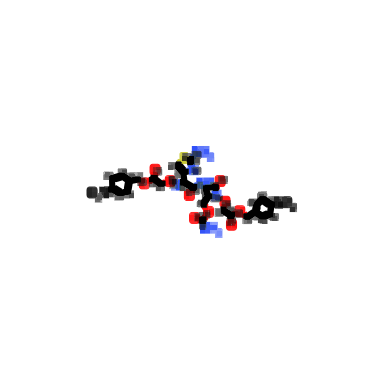 NC(=O)OCC1C(NC(=O)C(=NOCC(=O)OCc2ccc([N+](=O)[O-])cc2)c2csc(N)n2)C(=O)N1OCC(=O)OCc1ccc([N+](=O)[O-])cc1